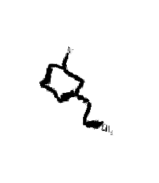 C=CCc1cccc(Br)c1